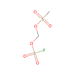 CS(=O)(=O)OCOS(=O)(=O)F